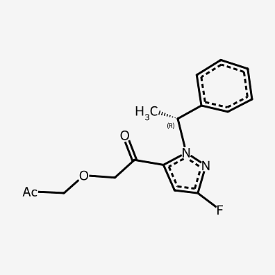 CC(=O)COCC(=O)c1cc(F)nn1[C@H](C)c1ccccc1